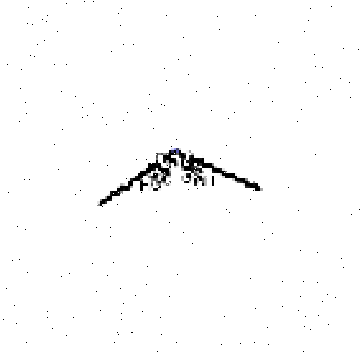 CCCCCCCCCCCCC(OC(=O)/C=C\C(=O)OC(CCCCCCCCCCCC)C(C)S(=O)(=O)O)C(C)S(=O)(=O)O